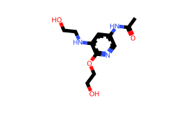 CC(=O)Nc1cnc(OCCO)c(NCCO)c1